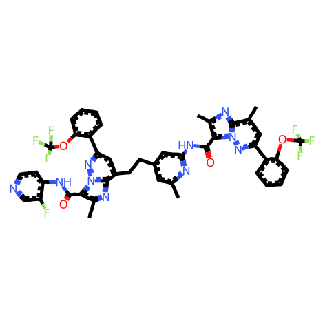 Cc1cc(CCc2cc(-c3ccccc3OC(F)(F)F)nn3c(C(=O)Nc4ccncc4F)c(C)nc23)cc(NC(=O)c2c(C)nc3c(C)cc(-c4ccccc4OC(F)(F)F)nn23)n1